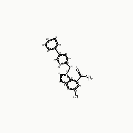 NC(=O)c1cc(Cl)cc2ccn(Cc3ccc(-c4ccccc4)cn3)c12